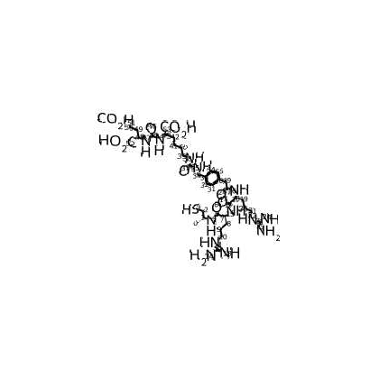 C[C@H](CS)NC(=O)[C@H](CCCNC(=N)N)NC(=O)[C@H](CCCNC(=N)N)NC(=O)Cc1ccc(CNC(=O)NCCCC[C@H](NC(=O)N[C@@H](CCC(=O)O)C(=O)O)C(=O)O)cc1